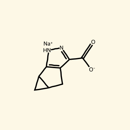 O=C([O-])c1n[nH]c2c1CC1CC21.[Na+]